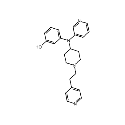 Oc1cccc(N(c2cccnc2)C2CCN(CCc3ccncc3)CC2)c1